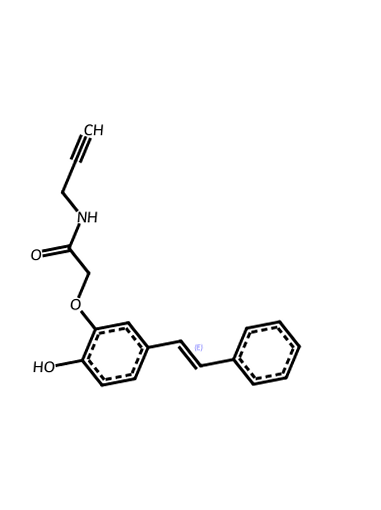 C#CCNC(=O)COc1cc(/C=C/c2ccccc2)ccc1O